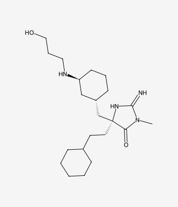 CN1C(=N)N[C@](CCC2CCCCC2)(C[C@H]2CCC[C@H](NCCCO)C2)C1=O